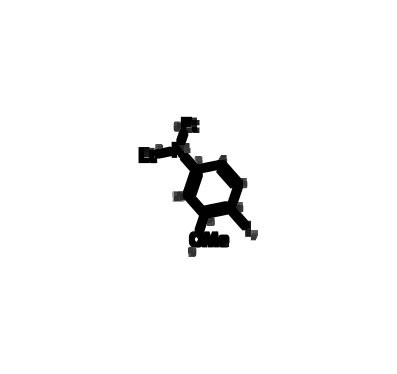 CCN(CC)c1ccc(I)c(OC)c1